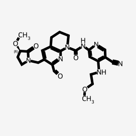 COCCNc1cc(NC(=O)N2CCCc3cc(CN4CC[C@@H](OC)C4=O)c(C=O)nc32)ncc1C#N